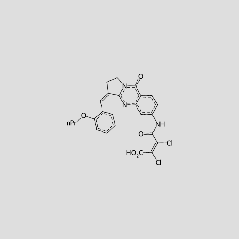 CCCOc1ccccc1/C=C1/CCn2c1nc1cc(NC(=O)/C(Cl)=C(/Cl)C(=O)O)ccc1c2=O